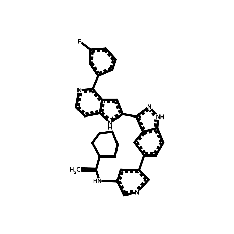 C=C(Nc1cncc(-c2ccc3[nH]nc(-c4cc5c(-c6cccc(F)c6)nccc5[nH]4)c3c2)c1)C1CCCCC1